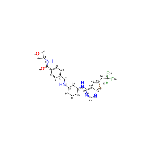 O=C(NC1COC1)c1ccc(CNC2CCCC(Nc3ncnc4sc(CC(F)(F)F)cc34)C2)cc1